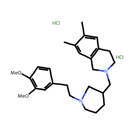 COc1ccc(CCN2CCCC(CN3CCc4cc(C)c(C)cc4C3)C2)cc1OC.Cl.Cl